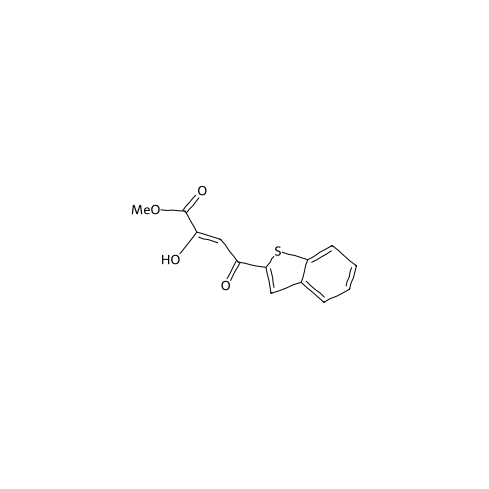 COC(=O)C(O)=CC(=O)c1cc2ccccc2s1